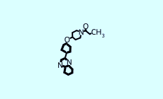 CCC(=O)N1CCC(Oc2ccc(-c3cnc4ccccc4n3)cc2)CC1